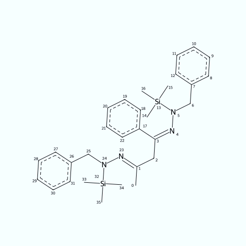 CC(CC(=NN(Cc1ccccc1)[Si](C)(C)C)c1ccccc1)=NN(Cc1ccccc1)[Si](C)(C)C